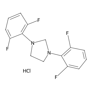 Cl.Fc1cccc(F)c1N1CCN(c2c(F)cccc2F)C1